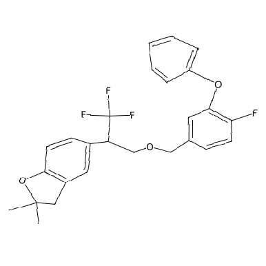 CC1(C)Cc2cc(C(COCc3ccc(F)c(Oc4ccccc4)c3)C(F)(F)F)ccc2O1